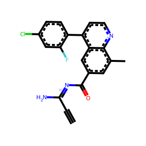 C#C/C(N)=N\C(=O)c1cc(C)c2nccc(-c3ccc(Cl)cc3F)c2c1